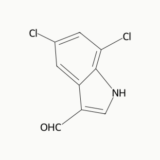 O=Cc1c[nH]c2c(Cl)cc(Cl)cc12